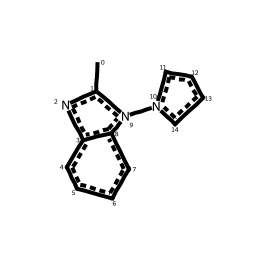 Cc1nc2ccccc2n1-n1cccc1